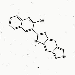 Oc1nc2ccccc2cc1-c1nc2cc3c[nH]nc3cc2[nH]1